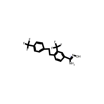 N/C(=N\O)c1ccc(CCc2ccc(C(F)(F)F)cc2)c(C(F)(F)F)c1